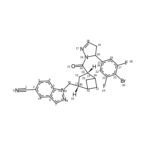 N#Cc1ccc2c(cnn2C[C@@H]2C[C@H](C(=O)N3N=CCC3c3cc(F)c(Br)c(F)c3)C3CC2C3)c1